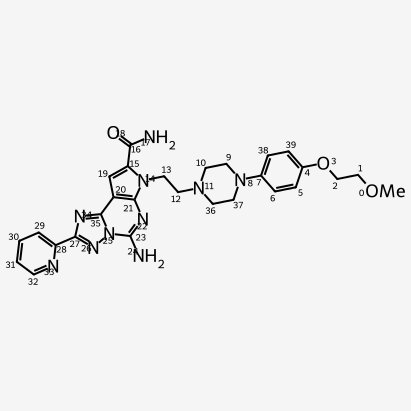 COCCOc1ccc(N2CCN(CCn3c(C(N)=O)cc4c3nc(N)n3nc(-c5ccccn5)nc43)CC2)cc1